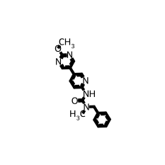 COc1ncc(-c2ccc(NC(=O)N(C)Cc3ccccc3)nc2)cn1